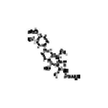 COc1ccc(-c2ccc3c(O)c(C(=O)NCC(=O)O)c(=O)n(C)c3c2)cc1Cl